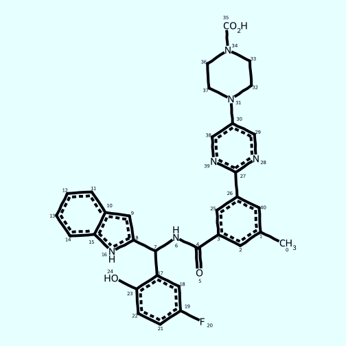 Cc1cc(C(=O)NC(c2cc3ccccc3[nH]2)c2cc(F)ccc2O)cc(-c2ncc(N3CCN(C(=O)O)CC3)cn2)c1